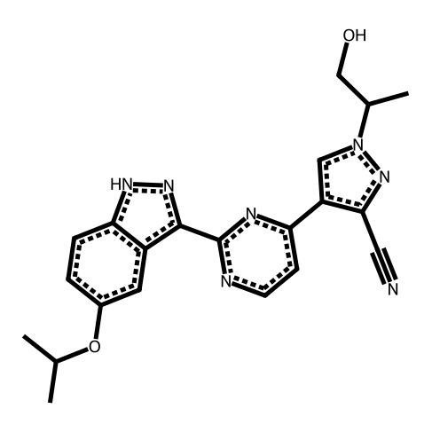 CC(C)Oc1ccc2[nH]nc(-c3nccc(-c4cn(C(C)CO)nc4C#N)n3)c2c1